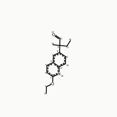 CCOc1ccc2cc(C(C)(C=O)CC)ccc2n1